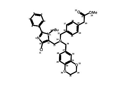 CCCCn1c(-c2ccccc2)nc(Cl)c1CN(Cc1ccc(CC(=O)OC)cc1)Cc1ccc2c(c1)OCCO2